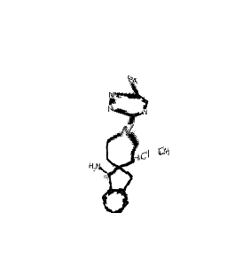 Cl.Cl.N[C@@H]1c2ccccc2CC12CCN(c1ncc(Br)nn1)CC2